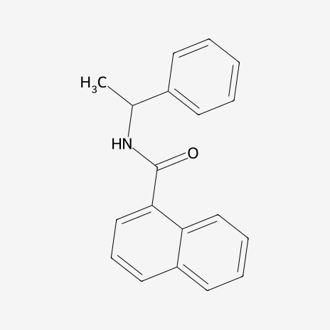 CC(NC(=O)c1cccc2ccccc12)c1ccccc1